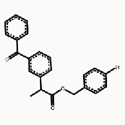 CCc1ccc(COC(=O)C(C)c2cccc(C(=O)c3ccccc3)c2)cc1